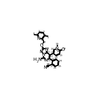 Cc1ccc(C)c(COc2nc3c(-c4ccc(=O)n(C)c4)c(-c4ccccc4C#N)nc(N)n3n2)n1